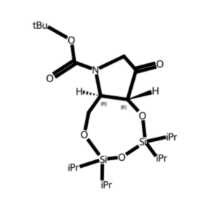 CC(C)[Si]1(C(C)C)OC[C@@H]2[C@@H](O[Si](C(C)C)(C(C)C)O1)C(=O)CN2C(=O)OC(C)(C)C